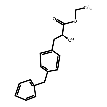 CCOC(=O)[C@@H](O)Cc1ccc(Cc2ccccc2)cc1